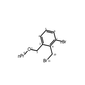 CCCOCc1cccc(Br)c1CBr